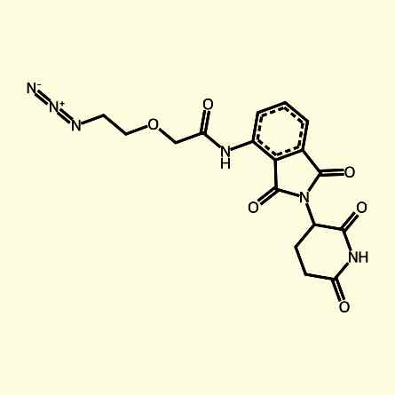 [N-]=[N+]=NCCOCC(=O)Nc1cccc2c1C(=O)N(C1CCC(=O)NC1=O)C2=O